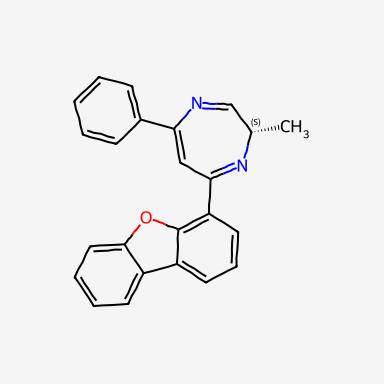 C[C@H]1C=NC(c2ccccc2)=CC(c2cccc3c2oc2ccccc23)=N1